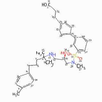 Cc1ccc(CCCC(C)(C)NC[C@@H](O)CN(C)S(=O)(=O)c2cccc(-c3ccc(CCC(=O)O)cc3)c2)cc1